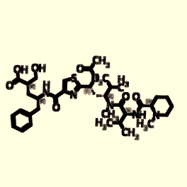 CC(=O)O[C@H](C[C@H](C(C)C)N(C)C(=O)[C@@H](NC(=O)[C@H]1CCCCN1C)C(C)C)c1nc(C(=O)N[C@@H](Cc2ccccc2)C[C@H](CO)C(=O)O)cs1